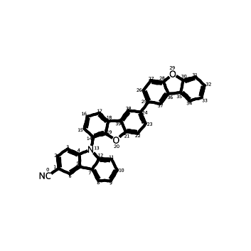 N#Cc1ccc2c(c1)c1ccccc1n2-c1cccc2c1oc1ccc(-c3ccc4oc5ccccc5c4c3)cc12